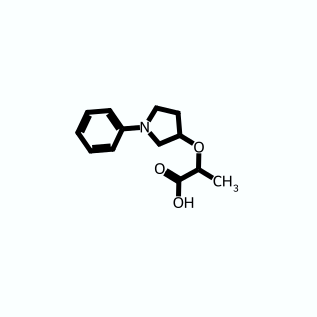 CC(OC1CCN(c2ccccc2)C1)C(=O)O